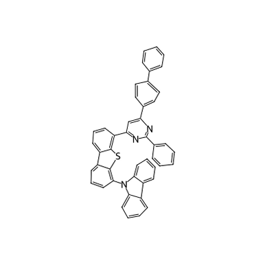 c1ccc(-c2ccc(-c3cc(-c4cccc5c4sc4c(-n6c7ccccc7c7ccccc76)cccc45)nc(-c4ccccc4)n3)cc2)cc1